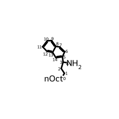 CCCCCCCCCCC(N)c1ccc2ccccc2c1